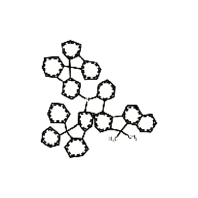 CC1(C)c2cccc(-c3ccccc3N(c3ccc4c(c3)C(c3ccccc3)(c3ccccc3)c3ccccc3-4)c3ccc4c(c3)C3(c5ccccc5-c5ccccc53)c3ccccc3-4)c2-c2ccc3ccccc3c21